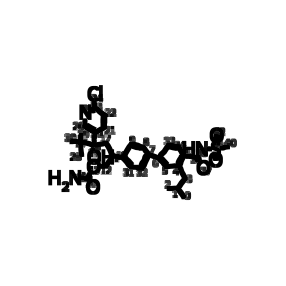 CC(C)Cc1cc(-c2ccc(C(COC(N)=O)C[C@](O)(c3ccc(Cl)nc3)C(C)(C)C)cc2)ccc1C(=O)NS(C)(=O)=O